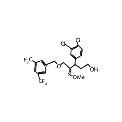 CON=C(COCc1cc(C(F)(F)F)cc(C(F)(F)F)c1)C(CCO)c1ccc(Cl)c(Cl)c1